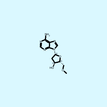 COC[C@H]1O[C@@H](n2cnc3c(N)ncnc32)C[C@@H]1O